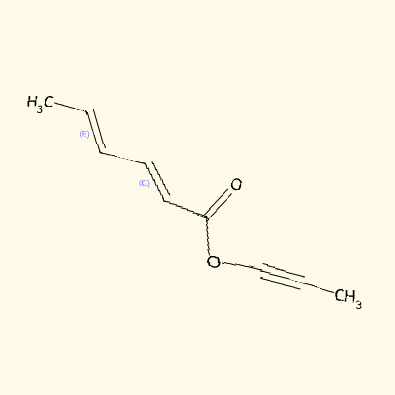 CC#COC(=O)/C=C/C=C/C